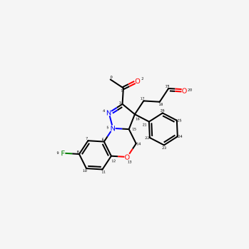 CC(=O)C1=NN2c3cc(F)ccc3OCC2C1(CCC=O)c1ccccc1